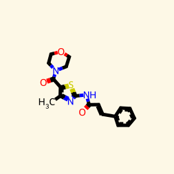 Cc1nc(NC(=O)C=Cc2ccccc2)sc1C(=O)N1CCOCC1